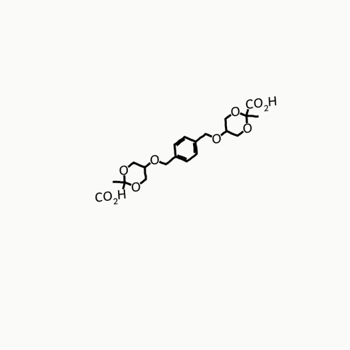 CC1(C(=O)O)OCC(OCc2ccc(COC3COC(C)(C(=O)O)OC3)cc2)CO1